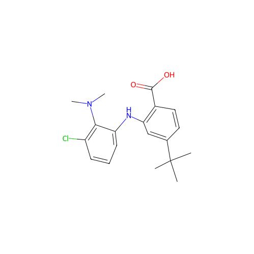 CN(C)c1c(Cl)cccc1Nc1cc(C(C)(C)C)ccc1C(=O)O